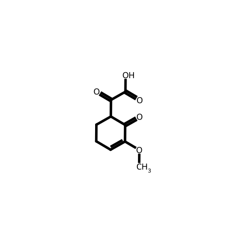 COC1=CCCC(C(=O)C(=O)O)C1=O